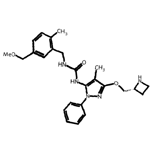 COCc1ccc(C)c(CNC(=O)Nc2c(C)c(OC[C@H]3CCN3)nn2-c2ccccc2)c1